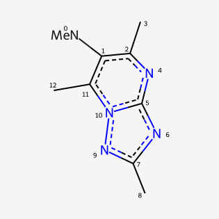 CNc1c(C)nc2nc(C)nn2c1C